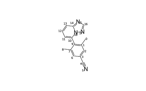 Cc1cc(C#N)cc(C)c1-c1cccc2ncnn12